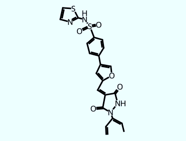 C=C/C(=C\C)N1NC(=O)/C(=C\c2cc(-c3ccc(S(=O)(=O)Nc4nccs4)cc3)co2)C1=O